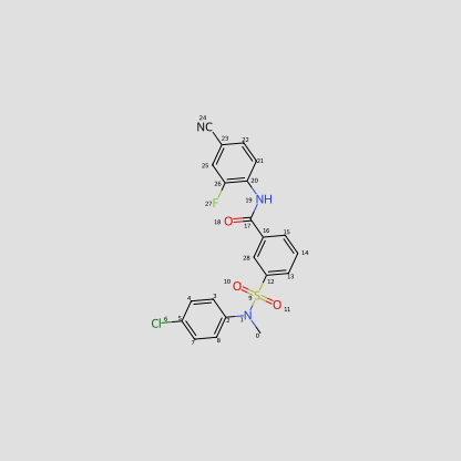 CN(c1ccc(Cl)cc1)S(=O)(=O)c1cccc(C(=O)Nc2ccc(C#N)cc2F)c1